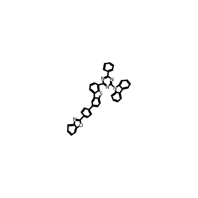 c1ccc(-c2nc(-c3cccc4c3sc3ccc(-c5ccc(-c6nc7ccccc7o6)cc5)cc34)nc(-n3c4ccccc4c4ccccc43)n2)cc1